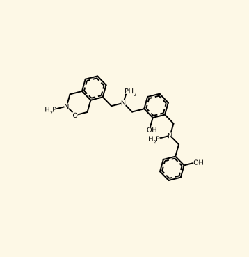 Oc1ccccc1CN(P)Cc1cccc(CN(P)Cc2cccc3c2CON(P)C3)c1O